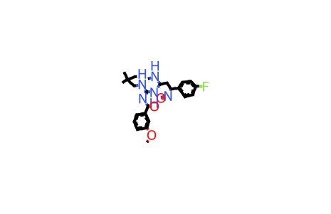 CNC(CC(N=O)c1ccc(F)cc1)N/C(=N\C(=O)c1cccc(OC)c1)NCC(C)(C)C